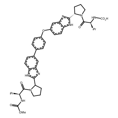 COC(=O)N[C@H](C(=O)N1CCCC1c1nc2cc(-c3ccc(Oc4ccc5[nH]c([C@@H]6CCCN6C(=O)[C@@H](NC(=O)O)C(C)C)nc5c4)cc3)ccc2[nH]1)C(C)C